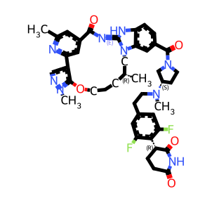 Cc1cc2cc(n1)-c1cnn(C)c1OCCC[C@@H](C)CN1/C(=N/C2=O)Nc2ccc(C(=O)N3CC[C@H](N(C)CCc4cc(F)c([C@H]5CCC(=O)NC5=O)c(F)c4)C3)cc21